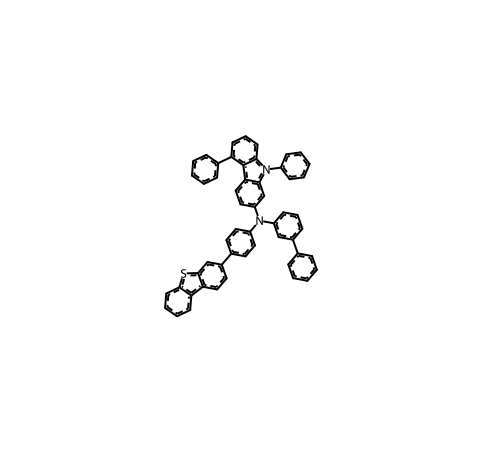 c1ccc(-c2cccc(N(c3ccc(-c4ccc5c(c4)sc4ccccc45)cc3)c3ccc4c5c(-c6ccccc6)cccc5n(-c5ccccc5)c4c3)c2)cc1